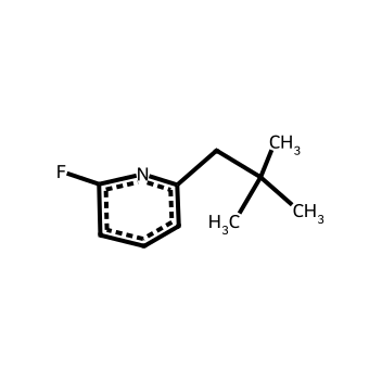 CC(C)(C)Cc1cccc(F)n1